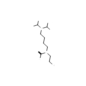 CC(C)N(CCCCN(CCN)C(N)=O)C(C)C